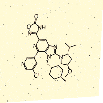 CO[C@@H]1C[C@@H](C(C)C)N(c2nc3cc(-c4noc(=O)[nH]4)nc(-c4cncc(Cl)c4)c3n2C[C@H]2CC[C@H](C)CC2)C1